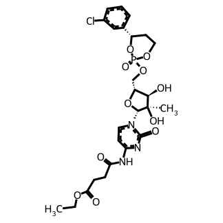 CCOC(=O)CCC(=O)Nc1ccn([C@@H]2O[C@H](COP3(=O)OCC[C@@H](c4cccc(Cl)c4)O3)[C@@H](O)[C@@]2(C)O)c(=O)n1